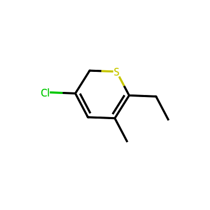 CCC1=C(C)C=C(Cl)CS1